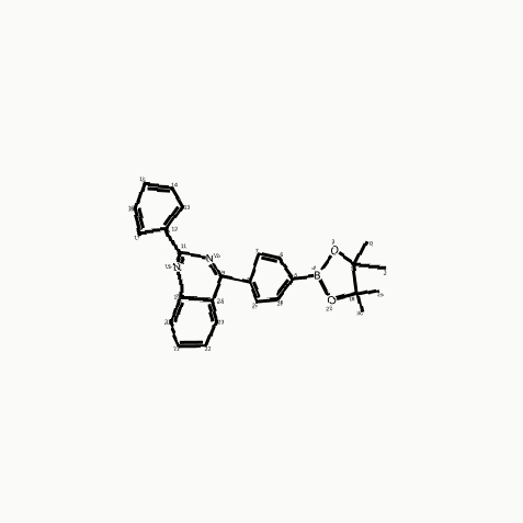 CC1(C)OB(c2ccc(-c3nc(-c4ccccc4)nc4ccccc34)cc2)OC1(C)C